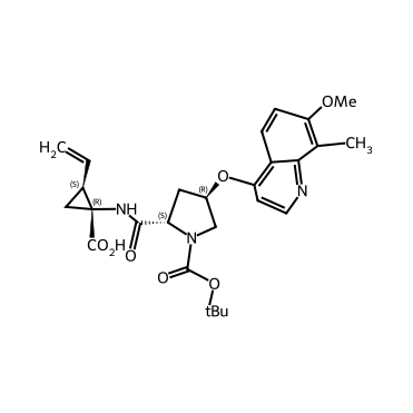 C=C[C@@H]1C[C@]1(NC(=O)[C@@H]1C[C@@H](Oc2ccnc3c(C)c(OC)ccc23)CN1C(=O)OC(C)(C)C)C(=O)O